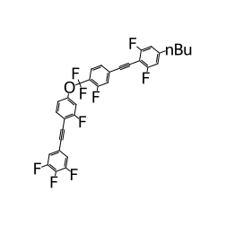 CCCCc1cc(F)c(C#Cc2ccc(C(F)(F)Oc3ccc(C#Cc4cc(F)c(F)c(F)c4)c(F)c3)c(F)c2)c(F)c1